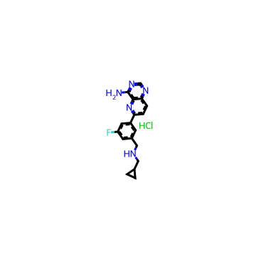 Cl.Nc1ncnc2ccc(-c3cc(F)cc(CNCC4CC4)c3)nc12